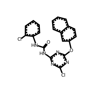 O=C(Nc1nc(Cl)nc(Oc2ccc3ccccc3c2)n1)Nc1ccccc1Cl